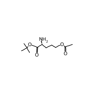 CC(=O)OCCC[C@H](N)C(=O)OC(C)(C)C